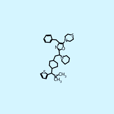 CN(C)C(c1cccs1)C1CCC(CC(c2nc(Cc3ccccc3)c(N3CCSCC3)o2)N2CCCCC2)CC1